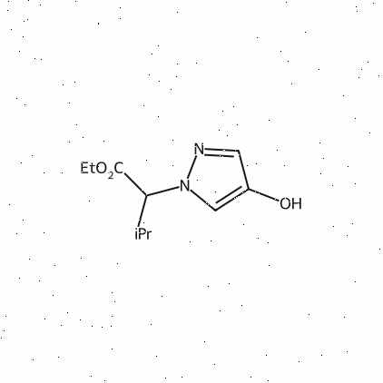 CCOC(=O)C(C(C)C)n1cc(O)cn1